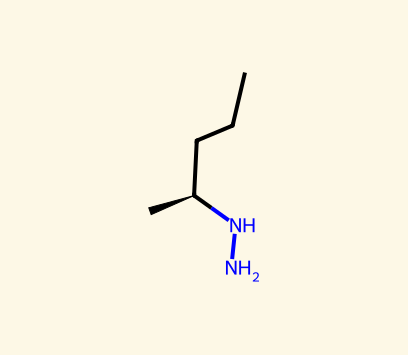 CCC[C@H](C)NN